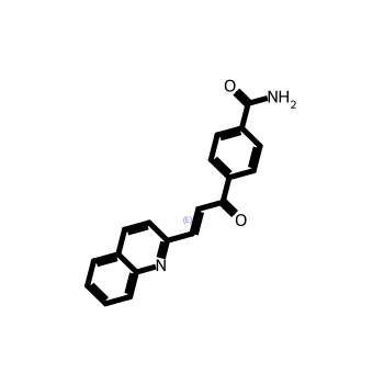 NC(=O)c1ccc(C(=O)/C=C/c2ccc3ccccc3n2)cc1